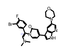 CN(C)/C=C(/c1ccc(F)c(Br)c1)n1ccc(-c2c[nH]c3ncc(N4CCOCC4)cc23)cc1=O